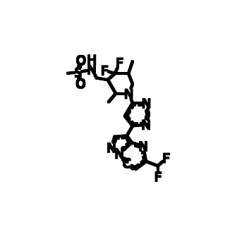 CC1C(CNS(C)(=O)=O)C(F)(F)C(C)CN1c1cc(-c2cnn3ccc(C(F)F)nc23)ncn1